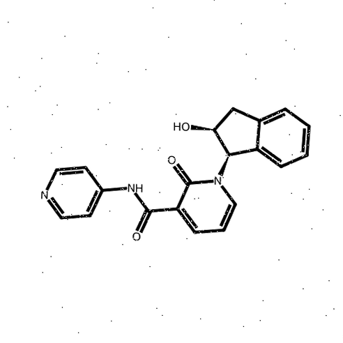 O=C(Nc1ccncc1)c1cccn([C@@H]2c3ccccc3C[C@@H]2O)c1=O